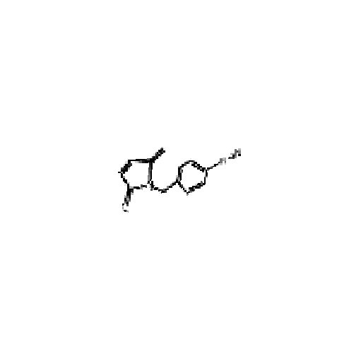 C=C1C=CC(=O)N1Cc1ccc([N+]#N)cc1